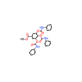 CCCOC(=O)c1cc(OC(=O)Nc2ccccc2)c(OC(=O)Nc2ccccc2)c(OC(=O)Nc2ccccc2)c1